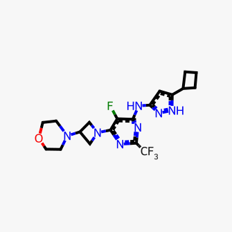 Fc1c(Nc2cc(C3CCC3)[nH]n2)nc(C(F)(F)F)nc1N1CC(N2CCOCC2)C1